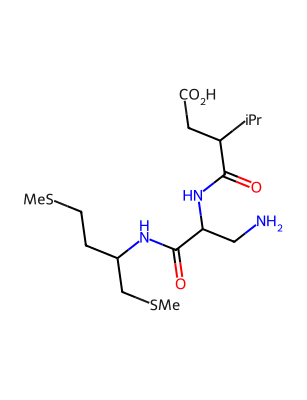 CSCCC(CSC)NC(=O)C(CN)NC(=O)C(CC(=O)O)C(C)C